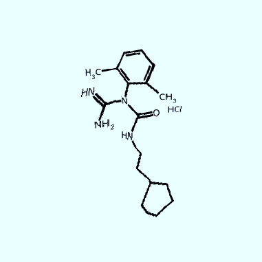 Cc1cccc(C)c1N(C(=N)N)C(=O)NCCC1CCCC1.Cl